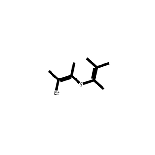 CC/C(C)=C(/C)SC(C)=C(C)C